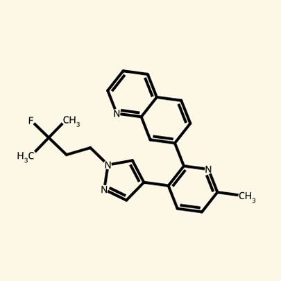 Cc1ccc(-c2cnn(CCC(C)(C)F)c2)c(-c2ccc3cccnc3c2)n1